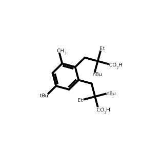 CCCCC(CC)(Cc1cc(C(C)(C)C)cc(C)c1CC(CC)(CCCC)C(=O)O)C(=O)O